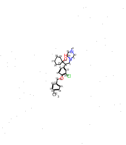 CN1CCN(CC(c2ccc(OCc3ccc(C(F)(F)F)cc3)c(Cl)c2)C2(O)CCCCC2)CC1